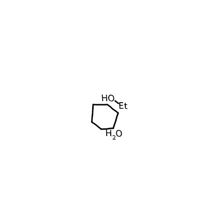 C1CCCCC1.CCO.O